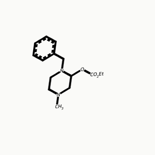 CCOC(=O)OC1CN(C)CCN1Cc1ccccc1